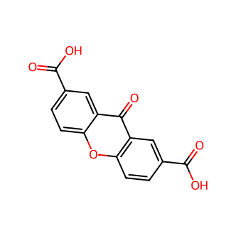 O=C(O)c1ccc2oc3ccc(C(=O)O)cc3c(=O)c2c1